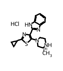 C[C@@H]1CN(c2sc(C3CC3)nc2-c2nc3ccccc3[nH]2)CCN1.Cl